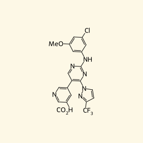 COc1cc(Cl)cc(Nc2ncc(-c3cncc(C(=O)O)c3)c(-n3ccc(C(F)(F)F)n3)n2)c1